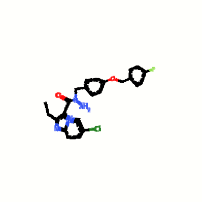 CCc1nc2ccc(Cl)cn2c1C(=O)N(N)Cc1ccc(OCc2ccc(F)cc2)cc1